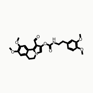 COc1ccc(CCNC(=O)Oc2cn3c(c2C=O)-c2cc(OC)c(OC)cc2CC3)cc1OC